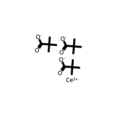 CC(C)(C)C(=O)[O-].CC(C)(C)C(=O)[O-].CC(C)(C)C(=O)[O-].[Ce+3]